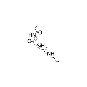 CCCCNCCC[SiH2]CC(=O)ONC(=O)CC